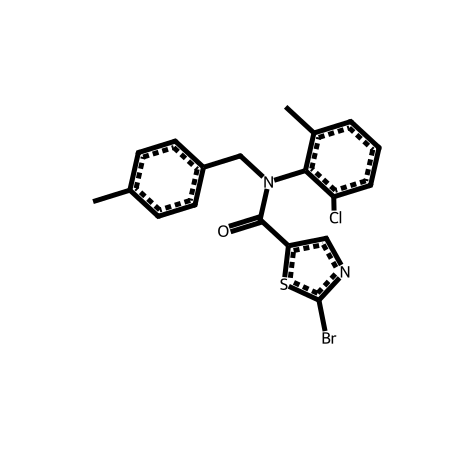 Cc1ccc(CN(C(=O)c2cnc(Br)s2)c2c(C)cccc2Cl)cc1